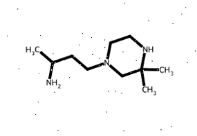 CC(N)CCN1CCNC(C)(C)C1